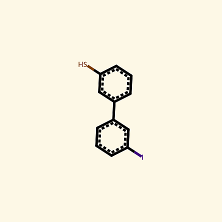 Sc1cccc(-c2cccc(I)c2)c1